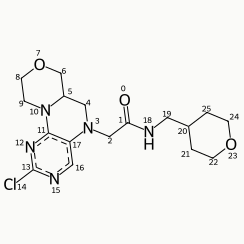 O=C(CN1CC2COCCN2c2nc(Cl)ncc21)NCC1CCOCC1